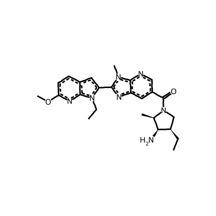 CC[C@@H]1CN(C(=O)c2cnc3c(c2)nc(-c2cc4ccc(OC)nc4n2CC)n3C)[C@H](C)[C@@H]1N